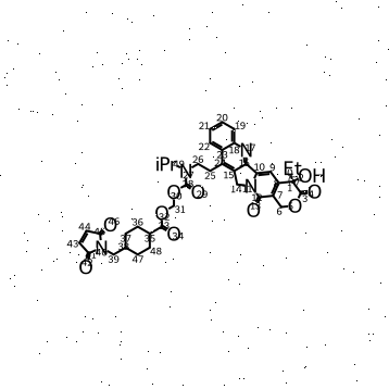 CC[C@@]1(O)C(=O)OCc2c1cc1n(c2=O)Cc2c-1nc1ccccc1c2CCN(C(=O)OCOC(=O)C1CCC(CN2C(=O)C=CC2=O)CC1)C(C)C